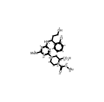 CNc1nc(NC(CCO)c2ccccc2Cl)nc(N2CCN(C(=O)OC(C)(C)C)C(C(=O)O)C2)n1